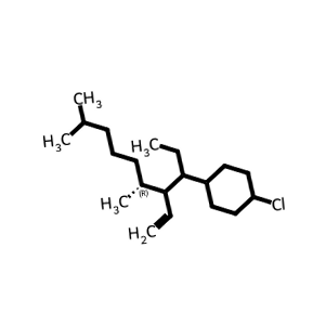 C=CC(C(CC)C1CCC(Cl)CC1)[C@H](C)CCCC(C)C